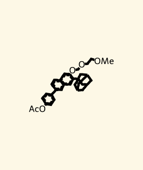 COCCOCOc1cc2ccc(-c3ccc(OC(C)=O)cc3)cc2cc1C12CC3CC(CC(C3)C1)C2